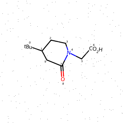 CC(C)(C)C1CCN(CC(=O)O)C(=O)C1